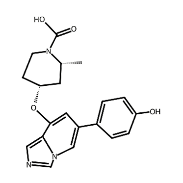 C[C@@H]1C[C@H](Oc2cc(-c3ccc(O)cc3)cn3cncc23)CCN1C(=O)O